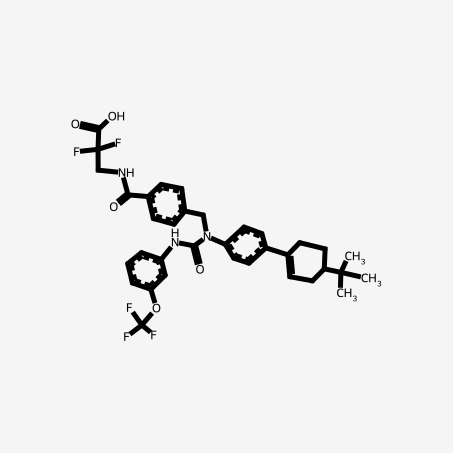 CC(C)(C)C1CC=C(c2ccc(N(Cc3ccc(C(=O)NCC(F)(F)C(=O)O)cc3)C(=O)Nc3cccc(OC(F)(F)F)c3)cc2)CC1